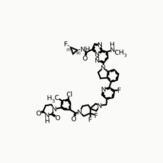 CNc1cc(N2CCc3c(-c4ncc(CN5CC6(CCN(C(=O)c7cc(Cl)c(C)c(N8CCC(=O)NC8=O)c7)CC6(F)F)C5)cc4F)cccc32)nn2c(C(=O)N[C@@H]3C[C@@H]3F)cnc12